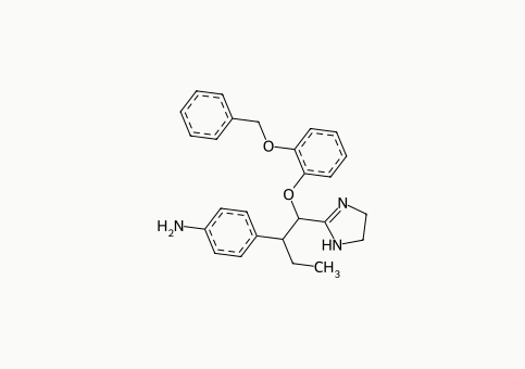 CCC(c1ccc(N)cc1)C(Oc1ccccc1OCc1ccccc1)C1=NCCN1